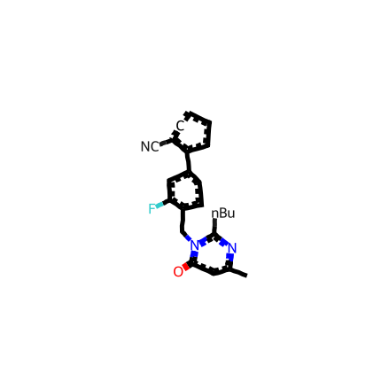 CCCCc1nc(C)cc(=O)n1Cc1ccc(-c2ccccc2C#N)cc1F